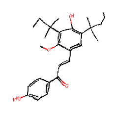 CCC(C)(C)c1cc(C=CC(=O)c2ccc(O)cc2)c(OC)c(C(C)(C)CC)c1O